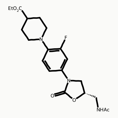 CCOC(=O)C1CCN(c2ccc(N3C[C@H](CNC(C)=O)OC3=O)cc2F)CC1